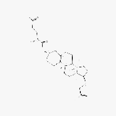 C[C@H](CC(=O)O)C1CC[C@H]2[C@@H]3CC[C@@H]4C[C@H](OC(=O)[C@@H](N)CCC(=O)O)CC[C@]4(C)[C@H]3CC[C@]12C